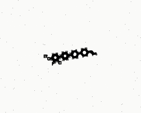 C/C=C/C1CCC(C2CC=C(c3ccc(-c4ccc(OCC)c(F)c4Cl)cc3)CC2)CC1